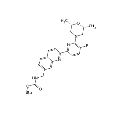 C[C@@H]1CN(c2nc(-c3ccc4cnc(CNC(=O)OC(C)(C)C)cc4n3)ccc2F)C[C@H](C)O1